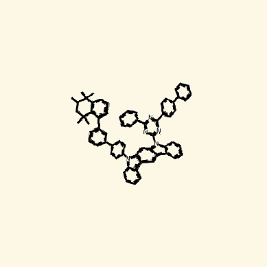 CC1CC(C)(C)c2c(-c3cccc(-c4ccc(-n5c6ccccc6c6cc7c8ccccc8n(-c8nc(-c9ccccc9)nc(-c9ccc(-c%10ccccc%10)cc9)n8)c7cc65)cc4)c3)cccc2C1(C)C